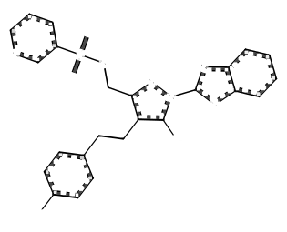 O=S(=O)(NCc1nn(-c2nc3ccccc3[nH]2)c(O)c1CCc1ccc(F)cc1)c1cccnc1